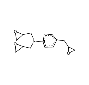 c1cc(N(CC2CO2)CC2CO2)ccc1CC1CO1